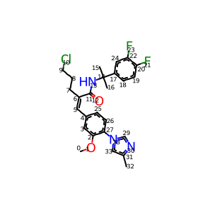 COc1cc(C=C(CCCCl)C(=O)NC(C)(C)c2ccc(F)c(F)c2)ccc1-n1cnc(C)c1